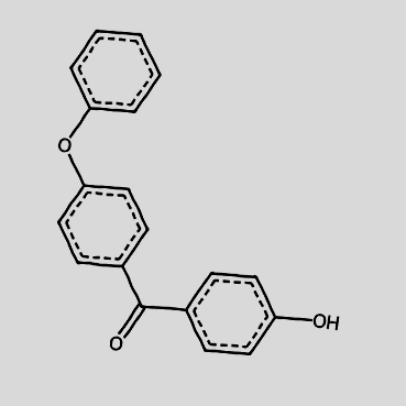 O=C(c1ccc(O)cc1)c1ccc(Oc2ccccc2)cc1